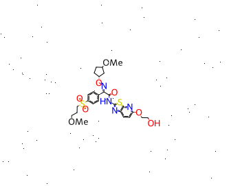 COCCCS(=O)(=O)c1ccc(/C(=N\O[C@@H]2CC[C@@H](OC)C2)C(=O)Nc2nc3ccc(OCCO)nc3s2)cc1